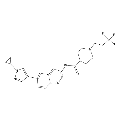 O=C(Nc1cc2cc(-c3cnn(C4CC4)c3)ccc2nn1)C1CCN(CCC(F)(F)F)CC1